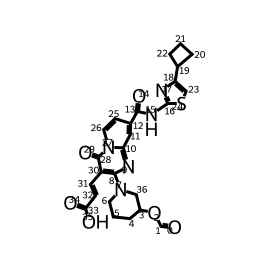 O=COC1CCCN(c2nc3cc(C(=O)Nc4nc(C5CCC5)cs4)ccn3c(=O)c2/C=C/C(=O)O)C1